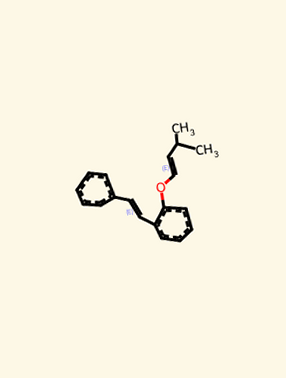 CC(C)/C=C/Oc1ccccc1/C=C/c1ccccc1